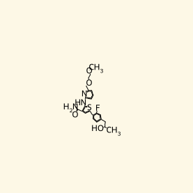 COCCOCc1cccc(Nc2sc(-c3ccc(CC(C)O)cc3F)cc2C(N)=O)n1